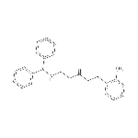 Cc1ccccc1CCNCCNC(c1ccccc1)c1ccccc1